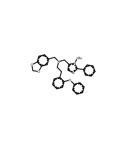 CCCCn1c(CN(CCc2ccccc2Oc2ccccc2)Cc2ccc3c(c2)OCO3)cnc1-c1ccccc1